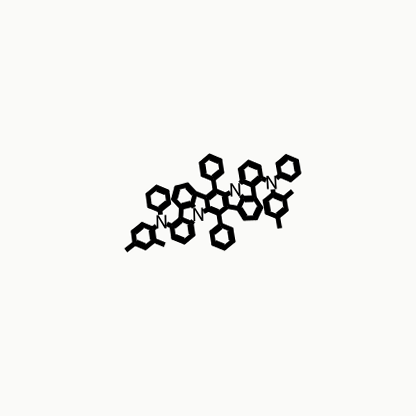 Cc1ccc(N(C2=CC=CCC2)c2cccc3c2c2cccc4c5c(-c6ccccc6)c6c(c(-c7ccccc7)c5n3c24)c2cccc3c4c(N(c5ccccc5)c5ccc(C)cc5C)cccc4n6c32)c(C)c1